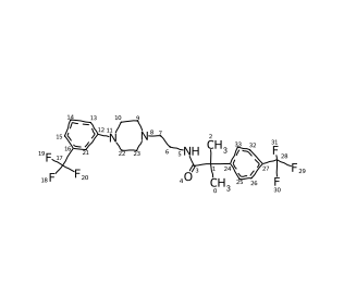 CC(C)(C(=O)NCCN1CCN(c2cccc(C(F)(F)F)c2)CC1)c1ccc(C(F)(F)F)cc1